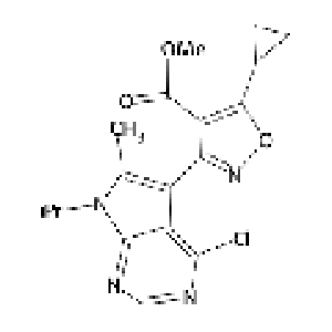 COC(=O)c1c(-c2c(C)n(C(C)C)c3ncnc(Cl)c23)noc1C1CC1